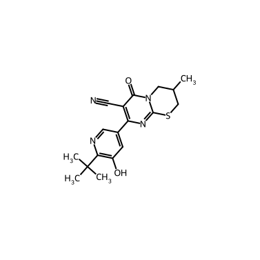 CC1CSc2nc(-c3cnc(C(C)(C)C)c(O)c3)c(C#N)c(=O)n2C1